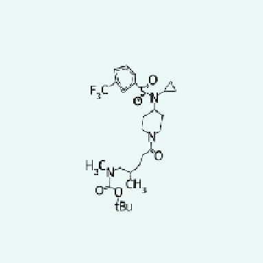 CC(CCC(=O)N1CCC(N(C2CC2)S(=O)(=O)c2cccc(C(F)(F)F)c2)CC1)CN(C)C(=O)OC(C)(C)C